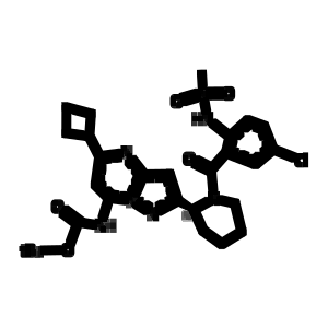 CC(C)(C)OC(=O)Nc1cc(C2CCC2)nc2cc([C@@H]3CCCCN3C(=O)c3cc(Cl)ccc3NS(C)(=O)=O)nn12